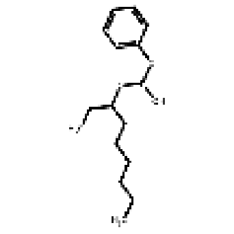 CCCCCCC(CC)OP(O)Oc1ccccc1